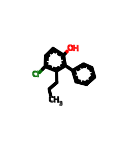 CCCc1c(Cl)ccc(O)c1-c1ccccc1